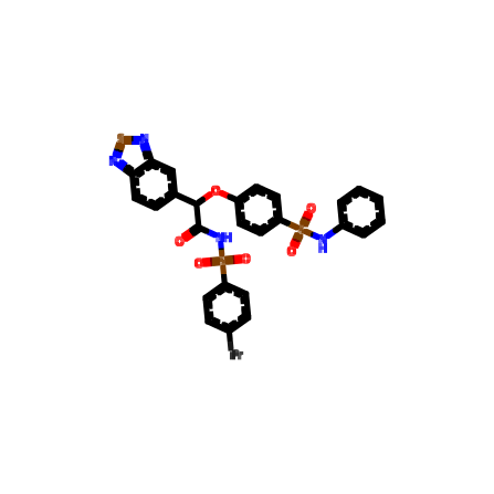 CC(C)c1ccc(S(=O)(=O)NC(=O)C(Oc2ccc(S(=O)(=O)Nc3ccccc3)cc2)c2ccc3nsnc3c2)cc1